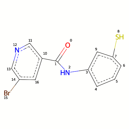 O=C(Nc1cccc(S)c1)c1cncc(Br)c1